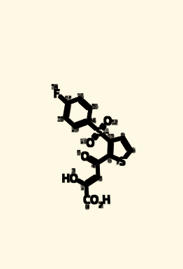 O=C(O)C(O)=CC(=O)c1sccc1S(=O)(=O)c1ccc(F)cc1